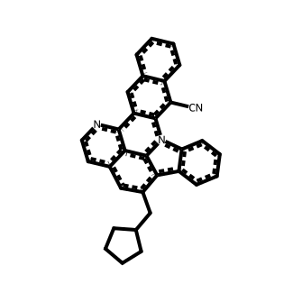 N#Cc1c2ccccc2cc2c3nccc4cc(CC5CCCC5)c5c6ccccc6n(c12)c5c43